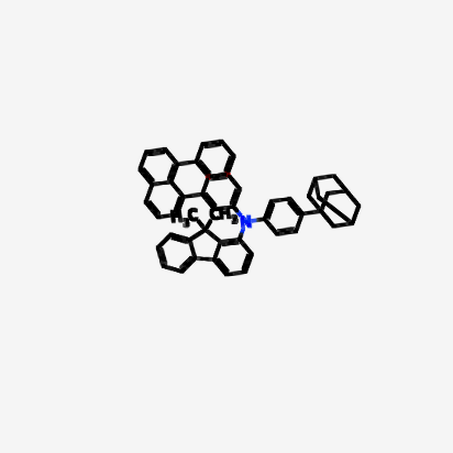 CC1(C)c2ccccc2-c2cccc(N(c3ccc(C45CC6CC(CC(C6)C4)C5)cc3)c3cccc(-c4cccc5cccc(-c6ccccc6)c45)c3)c21